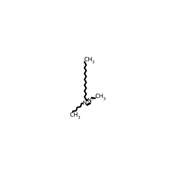 CCCCCCCCCCCCCCc1n(CCCCCC)cc[n+]1CCC